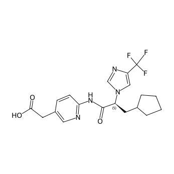 O=C(O)Cc1ccc(NC(=O)[C@H](CC2CCCC2)n2cnc(C(F)(F)F)c2)nc1